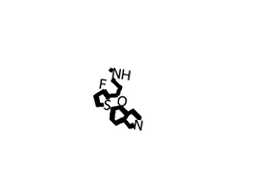 CNCCC(Oc1cccc2cnccc12)c1sccc1F